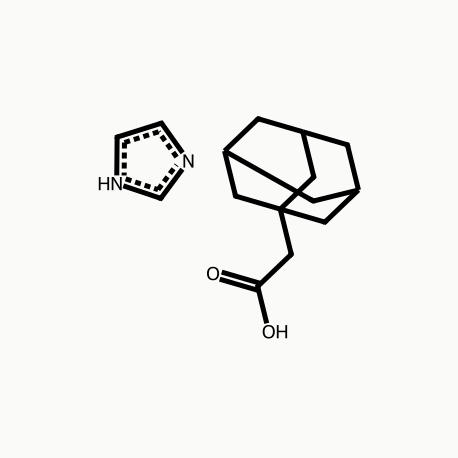 O=C(O)CC12CC3CC(CC(C3)C1)C2.c1c[nH]cn1